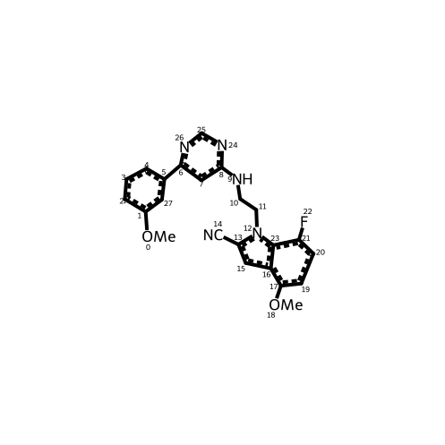 COc1[c]ccc(-c2cc(NCCn3c(C#N)cc4c(OC)ccc(F)c43)ncn2)c1